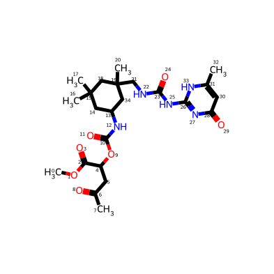 COC(=O)C(CC(C)=O)OC(=O)NC1CC(C)(C)CC(C)(CNC(=O)Nc2nc(=O)cc(C)[nH]2)C1